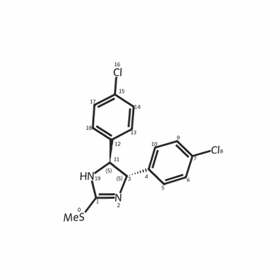 CSC1=N[C@@H](c2ccc(Cl)cc2)[C@H](c2ccc(Cl)cc2)N1